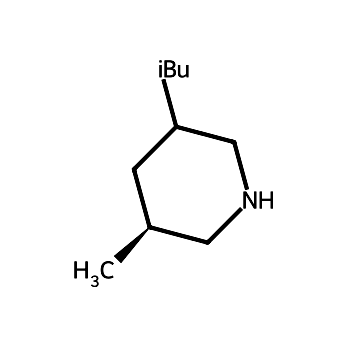 CCC(C)C1CNC[C@@H](C)C1